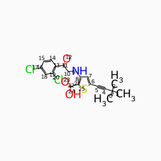 CC(C)(C)C#Cc1cc(NCC(=O)c2ccc(Cl)cc2Cl)c(C(=O)O)s1